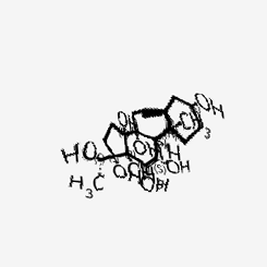 C[C@H](O)[C@]1(O)CC[C@@]2(O)[C@]1(C)[C@H](O)[C@@H](O)[C@@H]1[C@@]3(C)CC[C@H](O)CC3=CC[C@]12O